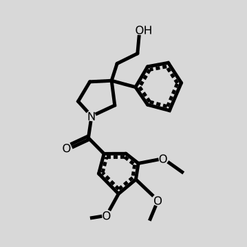 COc1cc(C(=O)N2CCC(CCO)(c3ccccc3)C2)cc(OC)c1OC